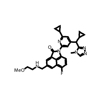 COCCNCc1cc2c3c(ccc(F)c3c1)N(c1cc(C(c3nncn3C)C3CC3)cc(C3CC3)n1)C2=O